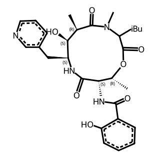 CCC(C)C1C(=O)O[C@H](C)[C@H](NC(=O)c2ccccc2O)C(=O)N[C@@H](Cc2cccnc2)[C@@H](O)[C@@H](C)C(=O)N1C